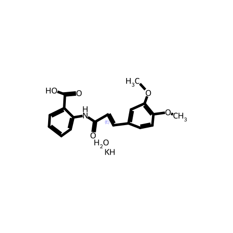 COc1ccc(/C=C/C(=O)Nc2ccccc2C(=O)O)cc1OC.O.[KH]